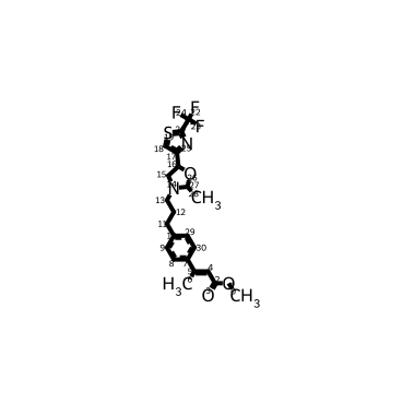 COC(=O)C=C(C)c1ccc(CCCN2CC(c3csc(C(F)(F)F)n3)OC2C)cc1